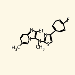 CCc1nc2ccc(C)cn2c1N(C)c1nc(C2=CCC=C(F)C=C2)cs1